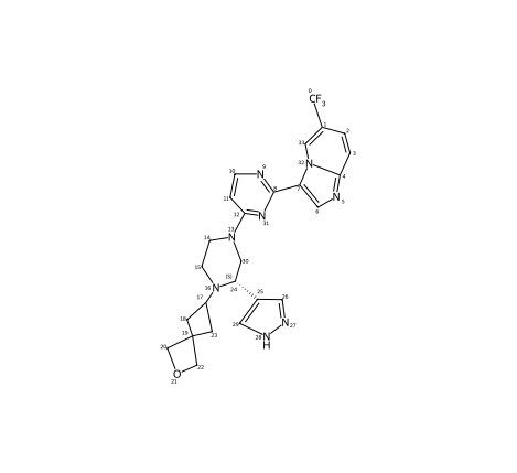 FC(F)(F)c1ccc2ncc(-c3nccc(N4CCN(C5CC6(COC6)C5)[C@@H](c5cn[nH]c5)C4)n3)n2c1